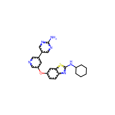 Nc1ncc(-c2cncc(Oc3ccc4nc(NC5CCCCC5)sc4c3)c2)cn1